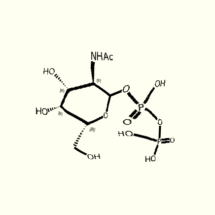 CC(=O)N[C@H]1C(OP(=O)(O)OP(=O)(O)O)O[C@H](CO)[C@H](O)[C@@H]1O